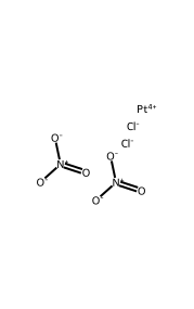 O=[N+]([O-])[O-].O=[N+]([O-])[O-].[Cl-].[Cl-].[Pt+4]